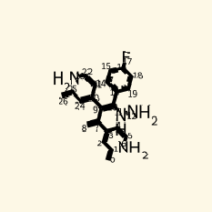 C=C/C=C(\C=C/N)C(=C)C(=C(\NN)c1ccc(F)cc1)/C(/C=C\N)=C/C=C